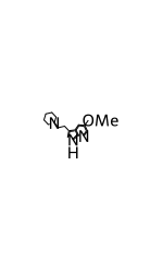 COc1cnc2[nH]cc(CCN3CCCCC3)c2c1